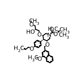 C=CCOc1ccc([C@@H]2[C@@H](OCc3cc(OC)c4ccccc4c3)CN(C(=O)OC(C)(C)C)C[C@H]2OC[C@H](O)COC)cc1